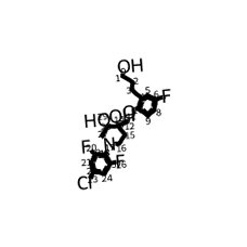 OCCCc1cc(F)ccc1OCC1(O)CCN(c2c(F)cc(Cl)cc2F)CC1O